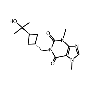 Cn1cnc2c1c(=O)n(C[C@H]1C[C@H](C(C)(C)O)C1)c(=O)n2C